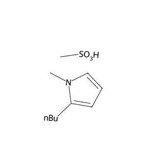 CCCCc1cccn1C.CS(=O)(=O)O